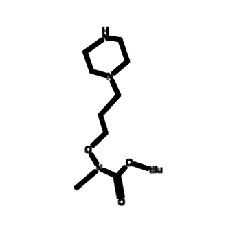 CN(OCCCN1CCNCC1)C(=O)OC(C)(C)C